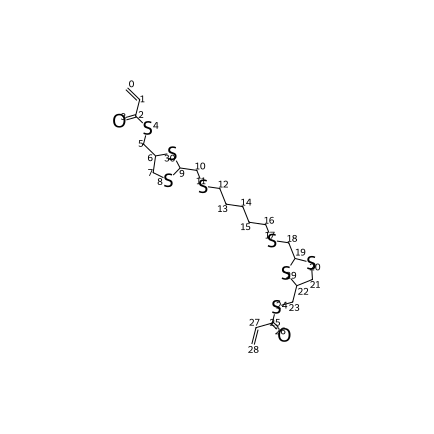 C=CC(=O)SCC1CSC(CSCCCCCSCC2SCC(CSC(=O)C=C)S2)S1